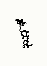 CCOP(=O)(CCCc1cc(C)c(Oc2ccc(OC)c(C(C)C)c2)c(C)c1)OCC